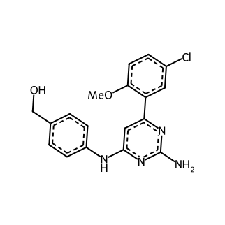 COc1ccc(Cl)cc1-c1cc(Nc2ccc(CO)cc2)nc(N)n1